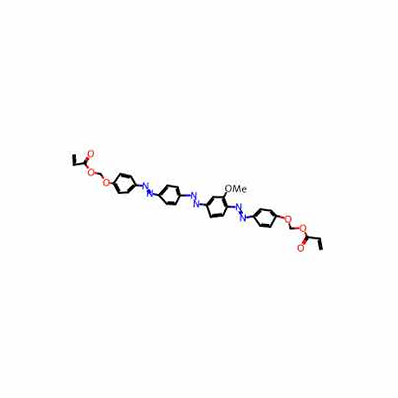 C=CC(=O)OCOc1ccc(N=Nc2ccc(N=Nc3ccc(N=Nc4ccc(OCOC(=O)C=C)cc4)c(OC)c3)cc2)cc1